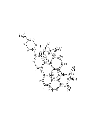 CN1CCN(c2ccc(-c3ccc4ncc5c(=O)[nH]c(=O)n(-c6ccc(C(C)(C)C#N)cc6)c5c4n3)cn2)CC1